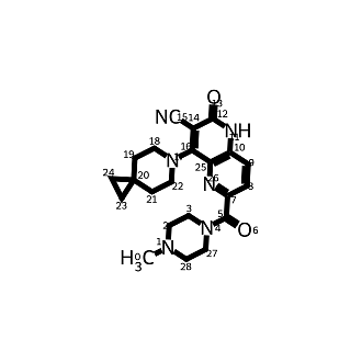 CN1CCN(C(=O)c2ccc3[nH]c(=O)c(C#N)c(N4CCC5(CC4)CC5)c3n2)CC1